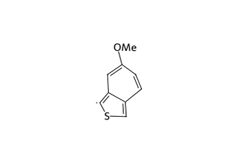 COc1ccc2cs[c]c2c1